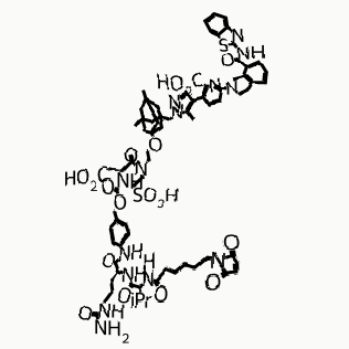 Cc1c(-c2ccc(N3CCc4cccc(C(=O)Nc5nc6ccccc6s5)c4C3)nc2C(=O)O)cnn1CC12CC3(C)CC(C)(C1)CC(OCCN(CCS(=O)(=O)O)C(=O)[C@H](CC(=O)O)NC(=O)OCc1ccc(NC(=O)[C@H](CCCNC(N)=O)NC(=O)[C@@H](NC(=O)CCCCCN4C(=O)C=CC4=O)C(C)C)cc1)(C3)C2